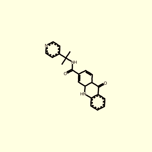 CC(C)(NC(=O)C1=CC2Nc3ccccc3C(=O)C2C=C1)c1ccncc1